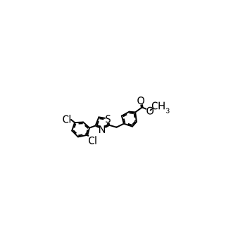 COC(=O)c1ccc(Cc2nc(-c3cc(Cl)ccc3Cl)cs2)cc1